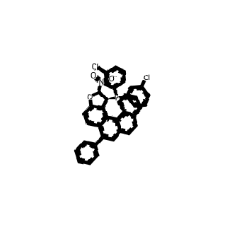 O=[N+]([O-])C1Oc2ccc3c(-c4ccccc4)cc4ccc5ccccc5c4c3c2[C@@H]1P(=O)(c1cccc(Cl)c1)c1cccc(Cl)c1